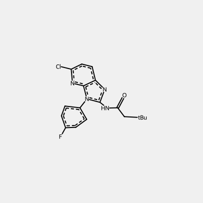 CC(C)(C)CC(=O)Nc1nc2ccc(Cl)nc2n1-c1ccc(F)cc1